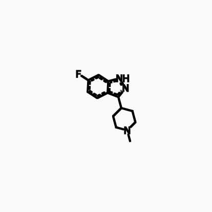 CN1CCC(c2n[nH]c3cc(F)ccc23)CC1